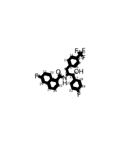 O=C(NC(Cc1ccc(C(F)(F)F)cc1)C(O)c1ccc(F)cc1)c1cccc2cc(F)ccc12